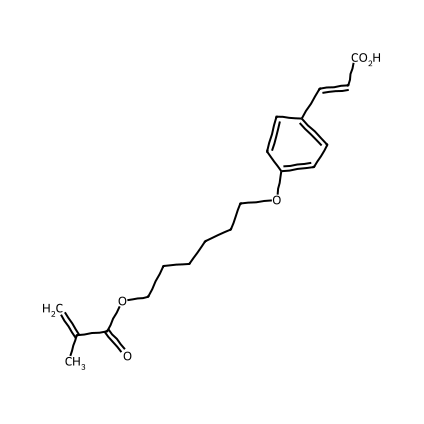 C=C(C)C(=O)OCCCCCCOc1ccc(/C=C/C(=O)O)cc1